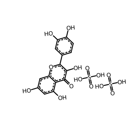 O=S(=O)(O)O.O=S(=O)(O)O.O=c1c(O)c(-c2ccc(O)c(O)c2)oc2cc(O)cc(O)c12